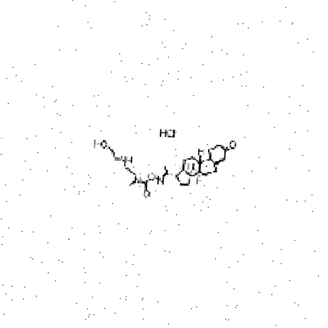 C/C(=N\OC(=O)N(C)CCNCCO)[C@H]1CC[C@H]2[C@@H]3CCC4=CC(=O)CC[C@]4(C)[C@H]3CC[C@]12C.Cl